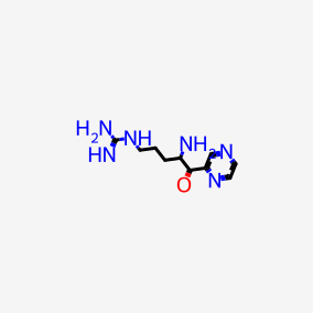 N=C(N)NCCCC(N)C(=O)c1cnccn1